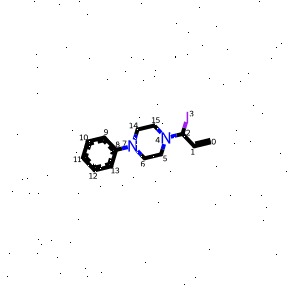 C=CC(I)N1CCN(c2ccccc2)CC1